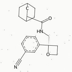 N#Cc1cccc([C@@]2(CNC(=O)C3CC4CCC3CC4)CCO2)c1